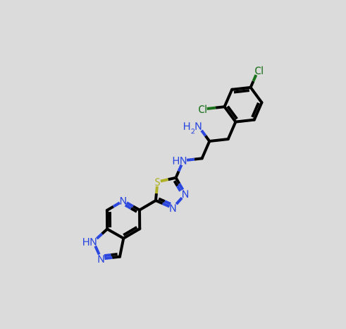 NC(CNc1nnc(-c2cc3cn[nH]c3cn2)s1)Cc1ccc(Cl)cc1Cl